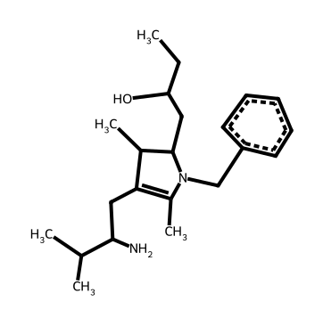 CCC(O)CC1C(C)C(CC(N)C(C)C)=C(C)N1Cc1ccccc1